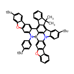 CC(C)(C)c1ccc(N2B3c4cc5oc6ccccc6c5cc4-n4c5ccc(C(C)(C)C)cc5c5c6c(c(c3c54)-c3cc4c(cc32)oc2cc(C(C)(C)C)ccc24)-c2ccccc2C6(C)C)cc1